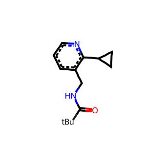 CC(C)(C)C(=O)NCc1cccnc1C1CC1